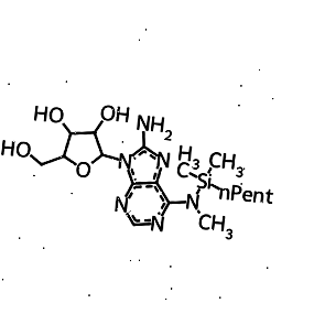 CCCCC[Si](C)(C)N(C)c1ncnc2c1nc(N)n2C1OC(CO)C(O)C1O